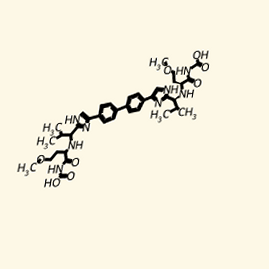 COCCC(NC(c1nc(-c2ccc(-c3ccc(-c4c[nH]c([C@@H](N[C@@H](CCOC)C(=O)NC(=O)O)C(C)C)n4)cc3)cc2)c[nH]1)C(C)C)C(=O)NC(=O)O